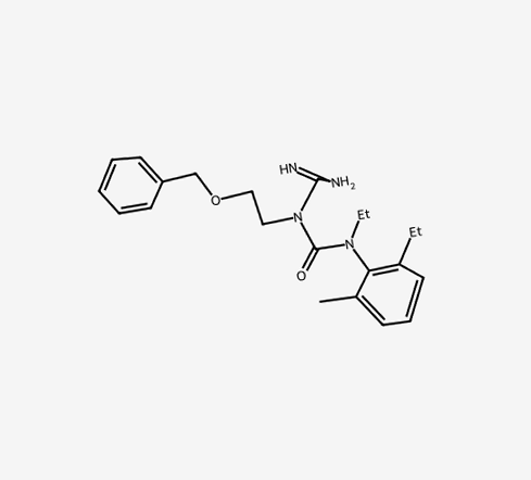 CCc1cccc(C)c1N(CC)C(=O)N(CCOCc1ccccc1)C(=N)N